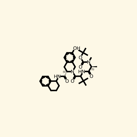 C[C@@H](C(=O)NC(C(=O)N1Cc2cc(O)ccc2C[C@H]1C(=O)NC1CCCc2ccccc21)C(C)(C)C)N(C)C(=O)OC(C)(C)C